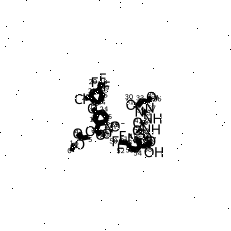 CCOC(=O)COC(=O)c1cc(Oc2ccc(C(F)(F)F)cc2Cl)ccc1[N+](=O)[O-].COc1cc(OC)nc(NC(=O)NS(=O)(=O)c2nc(C(F)(F)F)ccc2C(=O)O)n1